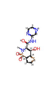 CN1C(C(=O)Nc2cnccn2)=C(O)c2sccc2S1(=O)=O